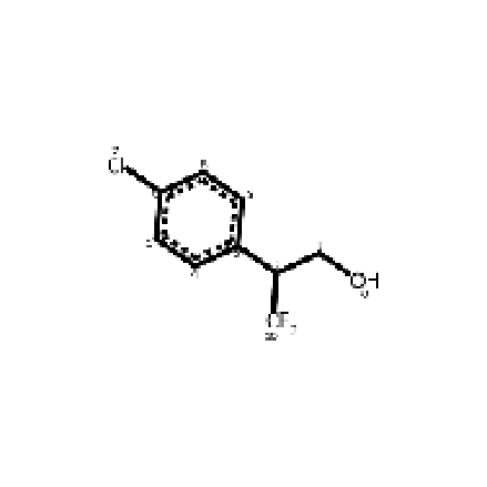 OCC(c1ccc(Cl)cc1)C(F)(F)F